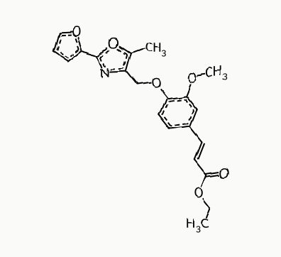 CCOC(=O)C=Cc1ccc(OCc2nc(-c3ccco3)oc2C)c(OC)c1